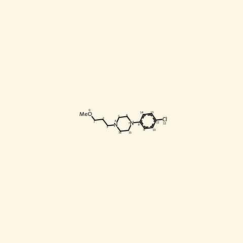 COCCCN1CCN(c2ccc(Cl)cc2)CC1